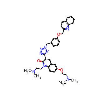 CN(C)CCOc1ccc2c(c1)cc(-c1nnn(Cc3cccc(OCc4ccc5ccccc5n4)c3)n1)c(=O)n2CCN(C)C